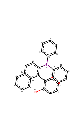 Oc1ccccc1-c1c(P(c2ccccc2)c2ccccc2)ccc2ccccc12